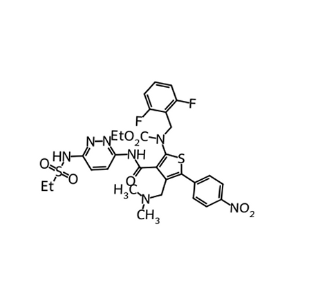 CCOC(=O)N(Cc1c(F)cccc1F)c1sc(-c2ccc([N+](=O)[O-])cc2)c(CN(C)C)c1C(=O)Nc1ccc(NS(=O)(=O)CC)nn1